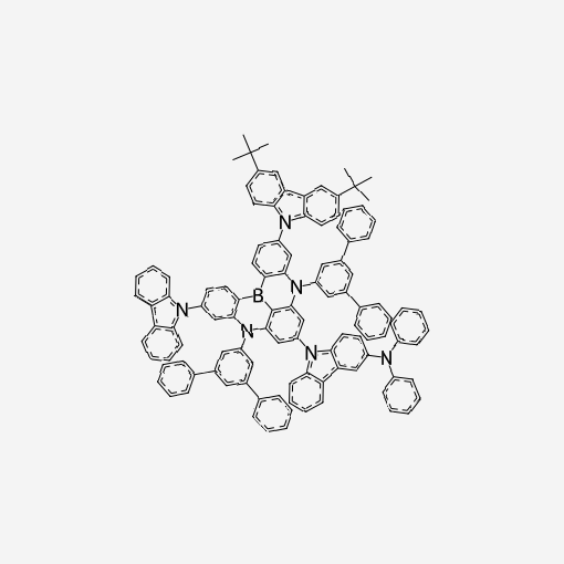 CC(C)(C)c1ccc2c(c1)c1cc(C(C)(C)C)ccc1n2-c1ccc2c(c1)N(c1cc(-c3ccccc3)cc(-c3ccccc3)c1)c1cc(-n3c4ccccc4c4cc(N(c5ccccc5)c5ccccc5)ccc43)cc3c1B2c1ccc(-n2c4ccccc4c4ccccc42)cc1N3c1cc(-c2ccccc2)cc(-c2ccccc2)c1